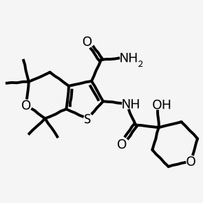 CC1(C)Cc2c(sc(NC(=O)C3(O)CCOCC3)c2C(N)=O)C(C)(C)O1